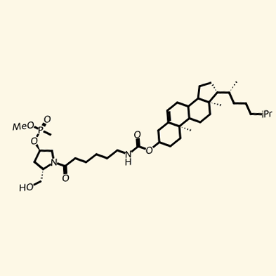 COP(C)(=O)O[C@@H]1C[C@@H](CO)N(C(=O)CCCCCNC(=O)OC2CC[C@@]3(C)C(=CCC4C3CC[C@@]3(C)C4CC[C@@H]3[C@H](C)CCCC(C)C)C2)C1